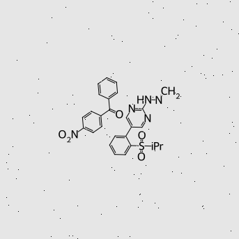 C=NNc1ncc(-c2ccccc2S(=O)(=O)C(C)C)cn1.O=C(c1ccccc1)c1ccc([N+](=O)[O-])cc1